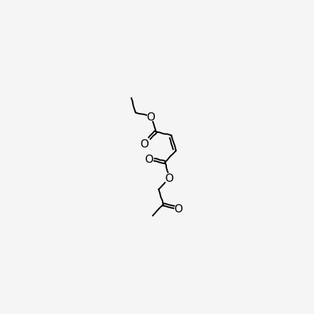 CCOC(=O)/C=C\C(=O)OCC(C)=O